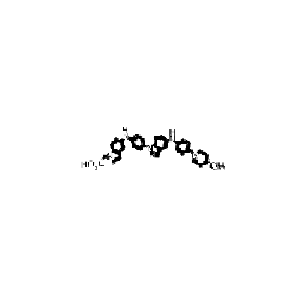 O=C(O)Cn1ccc2cc(Nc3ccc(-n4ncc5cc(Nc6ccc(N7CCC(O)CC7)cc6)ccc54)cc3)ccc21